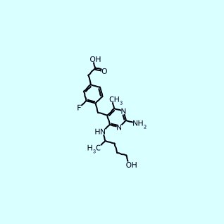 Cc1nc(N)nc(NC(C)CCCO)c1Cc1ccc(CC(=O)O)cc1F